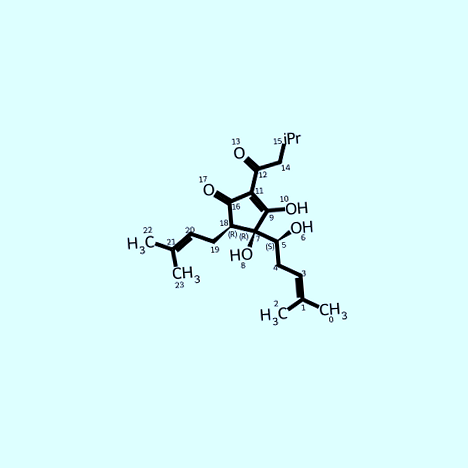 CC(C)=CC[C@H](O)[C@@]1(O)C(O)=C(C(=O)CC(C)C)C(=O)[C@@H]1CC=C(C)C